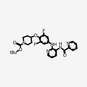 CC(C)(C)OC(=O)N1CCC(Oc2c(F)cc(Nc3ncccc3NC(=O)c3ccccn3)cc2F)CC1